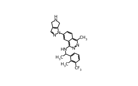 Cc1c(C(C)Nc2nnc(C)c3ccc(-n4ncc5c4CNC5)cc23)cccc1C(F)(F)F